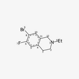 CCN1CCc2cc(F)c(Br)cc2C1